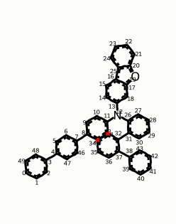 c1ccc(-c2ccc(-c3ccc(N(c4ccc5c(c4)oc4ccccc45)c4ccccc4-c4ccccc4-c4ccccc4)cc3)cc2)cc1